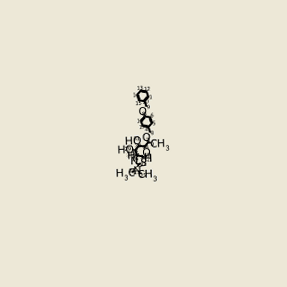 C[C@H](OCc1ccc(OCc2ccccc2)cc1)[C@H]1O[C@@H]2SC(N(C)C)=N[C@@H]2[C@@H](O)[C@@H]1O